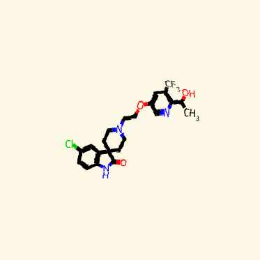 CC(O)c1ncc(OCCN2CCC3(CC2)C(=O)Nc2ccc(Cl)cc23)cc1C(F)(F)F